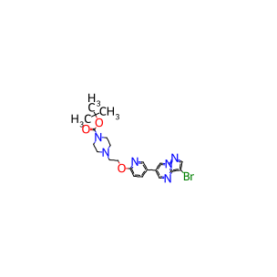 CC(C)(C)OC(=O)N1CCN(CCOc2ccc(-c3cnc4c(Br)cnn4c3)cn2)CC1